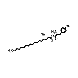 CCCCCCCCC=CCCCCCCCC(=O)OC(=O)[C@@H](N)Cc1ccc(O)cc1.[Na]